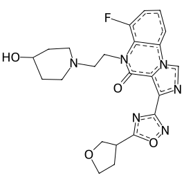 O=c1c2c(-c3noc(C4CCOC4)n3)ncn2c2cccc(F)c2n1CCN1CCC(O)CC1